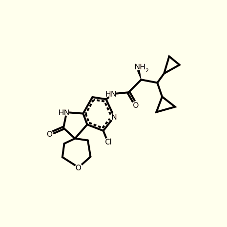 N[C@H](C(=O)Nc1cc2c(c(Cl)n1)C1(CCOCC1)C(=O)N2)C(C1CC1)C1CC1